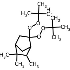 CC1C2CC(CC2(OOC(C)(C)C)OOC(C)(C)C)C1(C)C